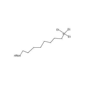 CCCCCCCCCCCCCCCC[CH][Si](CC)(CC)CC